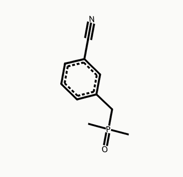 CP(C)(=O)Cc1cccc(C#N)c1